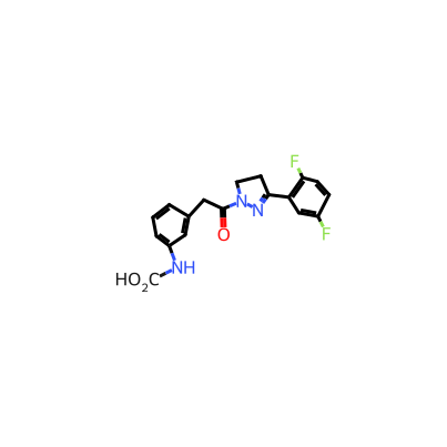 O=C(O)Nc1cccc(CC(=O)N2CCC(c3cc(F)ccc3F)=N2)c1